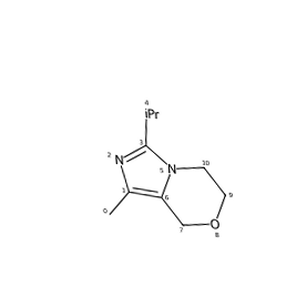 Cc1nc(C(C)C)n2c1COCC2